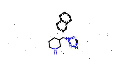 c1ccc2cc([C@@H](C3CCCNC3)n3ncnn3)ccc2c1